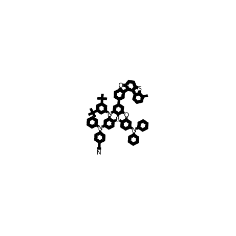 Cc1cccc2c1sc1ccc3oc4ccc(-c5cc6c7c(c5)N(c5cc(C(C)(C)C)cc(C(C)(C)C)c5)c5cc(N(c8ccccc8)c8ccc(C#N)cc8)ccc5B7c5ccc(N(c7ccccc7)c7ccccc7)cc5O6)cc4c3c12